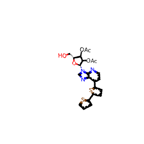 CC(=O)OC1C(OC(C)=O)[C@@H](CO)O[C@H]1n1cnc2c(-c3ccc(-c4cccs4)s3)ccnc21